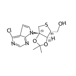 CC1(C)O[C@@H]2[C@@H](CO)SC[C@@]2(n2ccc3c(Cl)ncnc32)O1